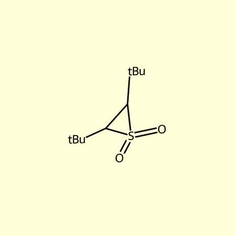 CC(C)(C)C1C(C(C)(C)C)S1(=O)=O